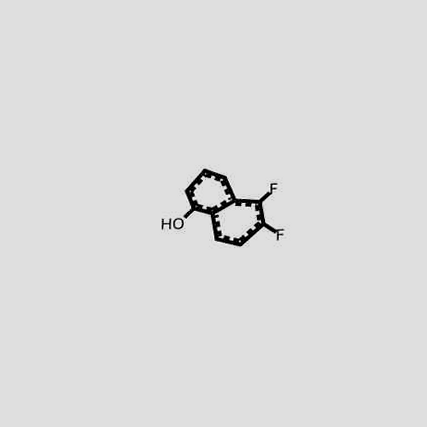 Oc1cccc2c(F)c(F)ccc12